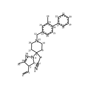 C=CC1CN(C2(CC#N)CCN(Cc3ccc(-c4ccccc4)c(C)c3)CC2)N=C1C